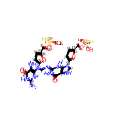 NC1=C(N(/C=N/C2NC(=O)C3=C(N2)N([C@H]2CC[C@@H](CO[PH](O)(O)S)O2)CN3)[C@H]2CC[C@@H](CO[PH](=O)S)O2)NC(N)NC1=O